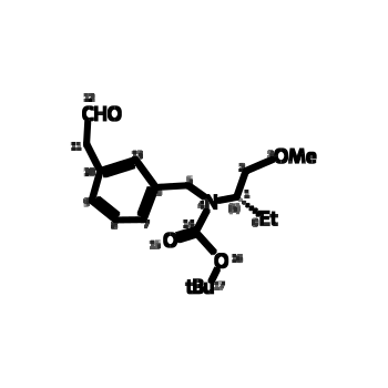 CC[C@@H](COC)N(Cc1cccc(CC=O)c1)C(=O)OC(C)(C)C